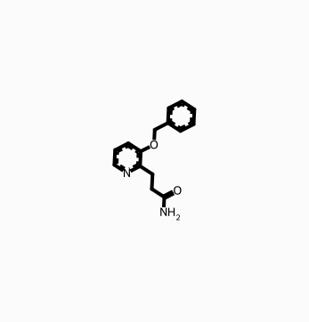 NC(=O)CCc1ncccc1OCc1ccccc1